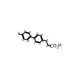 [CH2]c1ccc(-c2ccc(CCC(=O)O)cc2)cc1